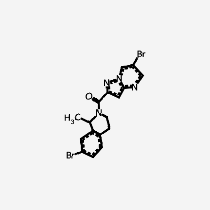 CC1c2cc(Br)ccc2CCN1C(=O)c1cc2ncc(Br)cn2n1